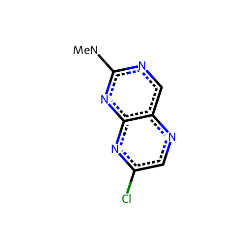 CNc1ncc2ncc(Cl)nc2n1